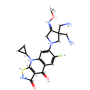 CON=C1CN(c2cc3c(cc2F)c(=O)c2c(=O)[nH]sc2n3C2CC2)CC1(CN)CN